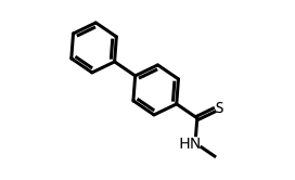 CNC(=S)c1ccc(-c2ccccc2)cc1